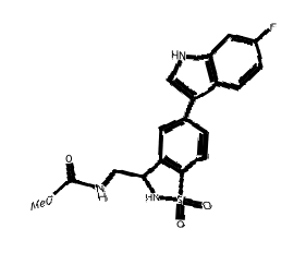 COC(=O)NCC1NS(=O)(=O)c2ccc(-c3c[nH]c4cc(F)ccc34)cc21